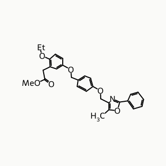 CCOc1ccc(OCc2ccc(OCc3nc(-c4ccccc4)oc3C)cc2)cc1CC(=O)OC